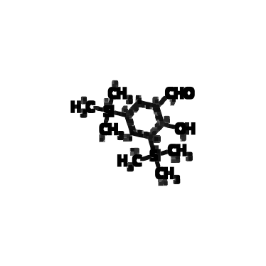 C[Si](C)(C)c1cc(C=O)c(O)c([Si](C)(C)C)c1